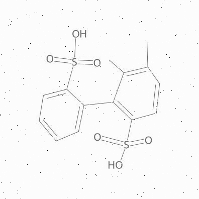 Cc1ccc(S(=O)(=O)O)c(-c2ccccc2S(=O)(=O)O)c1C